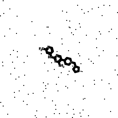 Nc1nc(Nc2ccnc(C(F)(F)F)c2)ncc1C1CCN(CC2CCCC2)CC1